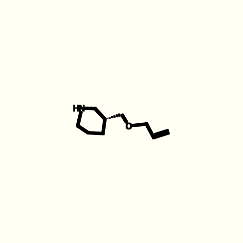 C=CCOC[C@@H]1CCCNC1